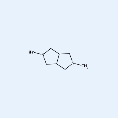 CC(C)N1CC2CN(C)CC2C1